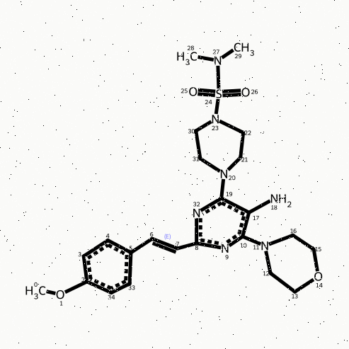 COc1ccc(/C=C/c2nc(N3CCOCC3)c(N)c(N3CCN(S(=O)(=O)N(C)C)CC3)n2)cc1